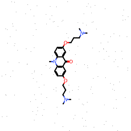 CN(C)CCCOc1ccc2c(c1)c(=O)c1cc(OCCCN(C)C)ccc1n2C